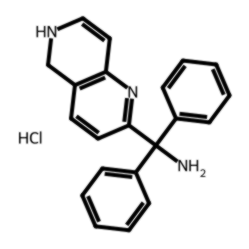 Cl.NC(c1ccccc1)(c1ccccc1)c1ccc2c(n1)C=CNC2